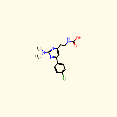 CN(C)c1nc(CCNC(=O)O)cc(-c2ccc(Cl)cc2)n1